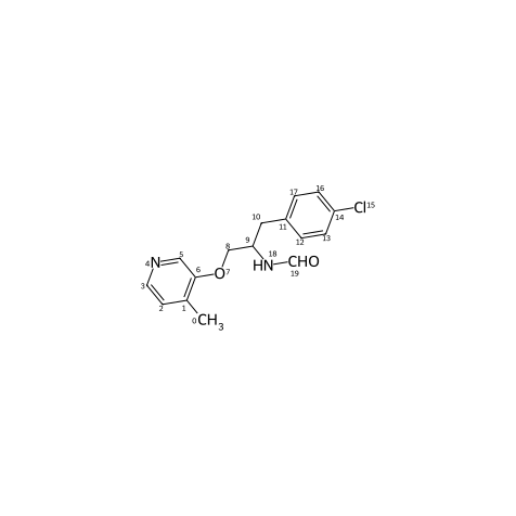 Cc1ccncc1OCC(Cc1ccc(Cl)cc1)NC=O